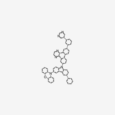 c1ccc(-c2ccc3c(c2)c2cc(N4c5ccccc5Oc5ccccc54)ccc2n3-c2ccc3c4ccc(-c5cccc(-c6cncnc6)c5)cc4c4nccnc4c3c2)cc1